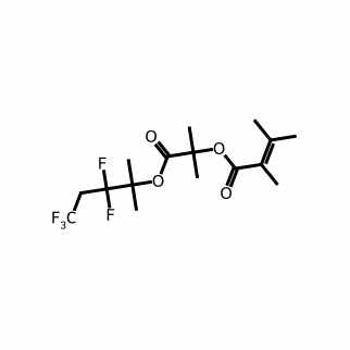 CC(C)=C(C)C(=O)OC(C)(C)C(=O)OC(C)(C)C(F)(F)CC(F)(F)F